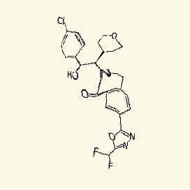 O=C1c2cc(-c3nnc(C(F)F)o3)ccc2CN1[C@H](C1CCOCC1)[C@@H](O)c1ccc(Cl)cc1